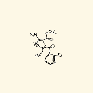 COC(=O)c1c(N)[nH]c(C)c1C(=O)c1ccccc1Cl